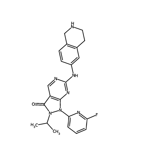 CC(C)n1c(=O)c2cnc(Nc3ccc4c(c3)CCNC4)nc2n1-c1cccc(F)n1